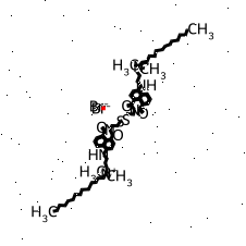 CCCCCCCCCCCCCC[N+](C)(C)CCCNc1ccc2c3c(cccc13)C(=O)N(CCSSCCN1C(=O)c3cccc4c(NCCC[N+](C)(C)CCCCCCCCCCCCCC)ccc(c34)C1=O)C2=O.[Br-].[Br-]